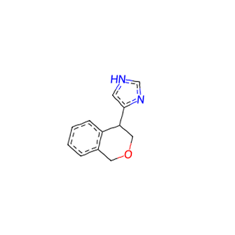 c1ccc2c(c1)COCC2c1c[nH]cn1